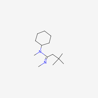 C/N=C(/CC(C)(C)C)N(C)C1CCCCC1